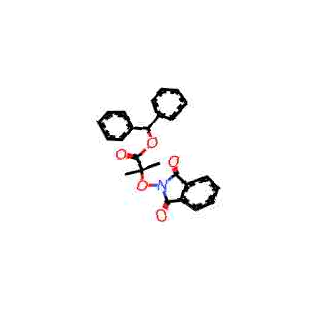 CC(C)(ON1C(=O)c2ccccc2C1=O)C(=O)OC(c1ccccc1)c1ccccc1